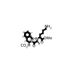 COC(=O)C(CCCCN)N[C@@H](C)C(=O)N1Cc2ccccc2C[C@H]1C(=O)O